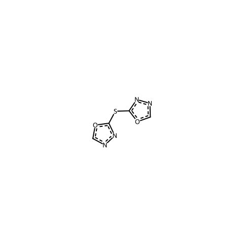 c1nnc(Sc2nnco2)o1